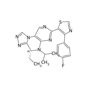 CC[C@@H]1c2nncn2-c2cnc(-c3scnc3-c3ccc(F)cc3)nc2N1C(C)C